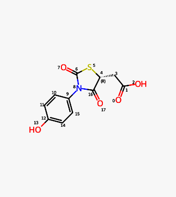 O=C(O)C[C@H]1SC(=O)N(c2ccc(O)cc2)C1=O